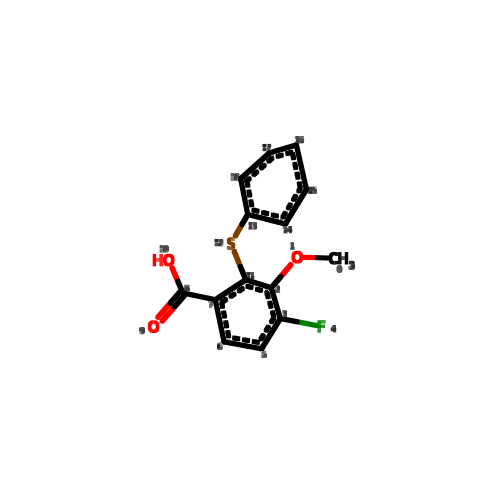 COc1c(F)ccc(C(=O)O)c1Sc1ccccc1